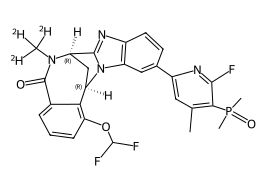 [2H]C([2H])([2H])N1C(=O)c2cccc(OC(F)F)c2[C@H]2C[C@@H]1c1nc3ccc(-c4cc(C)c(P(C)(C)=O)c(F)n4)cc3n12